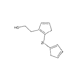 OCCC1=[C]([Zr][C]2=CC=CC2)CC=C1